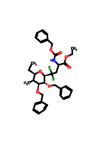 CCOC(=O)C(CC(F)(F)[C@@H]1O[C@H](CC)[C@H](C)[C@H](OCc2ccccc2)[C@H]1OCc1ccccc1)NC(=O)OCc1ccccc1